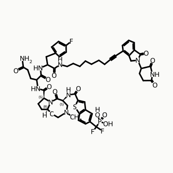 CN1CC[C@H]2CC[C@@H](C(=O)NC(CCC(N)=O)C(=O)NC(Cc3ccc(F)cc3)C(=O)NCCCCCCCC#Cc3cccc4c3CN(C3CCC(=O)NC3=O)C4=O)N2C(=O)[C@@H](NC(=O)c2cc3cc(C(F)(F)P(=O)(O)O)ccc3s2)C1